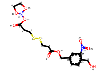 O=C(CCSSCCC(=O)ON1OCCO1)OCc1ccc(CO)c([N+](=O)[O-])c1